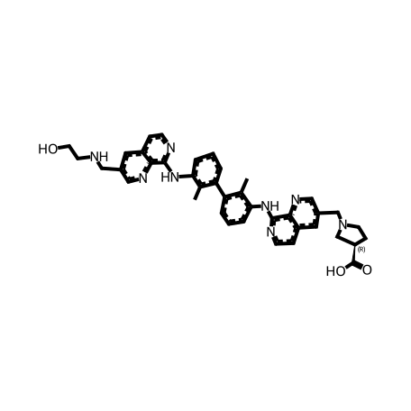 Cc1c(Nc2nccc3cc(CNCCO)cnc23)cccc1-c1cccc(Nc2nccc3cc(CN4CC[C@@H](C(=O)O)C4)cnc23)c1C